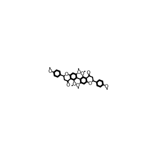 COc1ccc(C2CC(=O)c3c(cc(OC)c(-c4c(OC)cc5c(c4OC)C(=O)CC(c4ccc(OC)cc4)O5)c3OC)O2)cc1